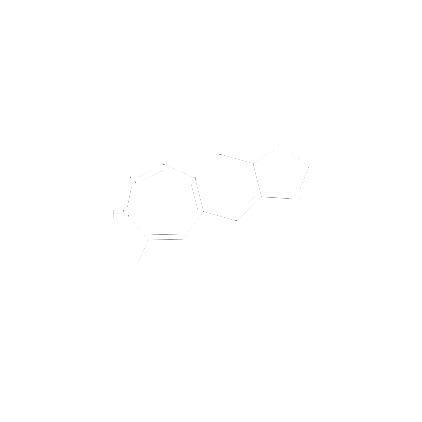 CC1=CC2=C(C=NN1)CC1OCOC1=C2